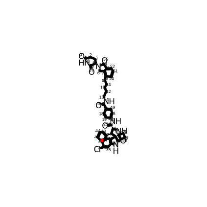 O=C1CCC(N2Cc3c(CCCCCNC(=O)c4ccc(NC(=O)[C@@H]5NC6(CCC6)[C@@]6(C(=O)Nc7cc(Cl)ccc76)[C@H]5c5ccccc5)cc4)cccc3C2=O)C(=O)N1